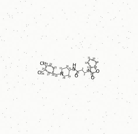 O=C(CCn1c(=O)oc2ccccc21)NC1CCN(Cc2ccc(Cl)c(Cl)c2)CC1